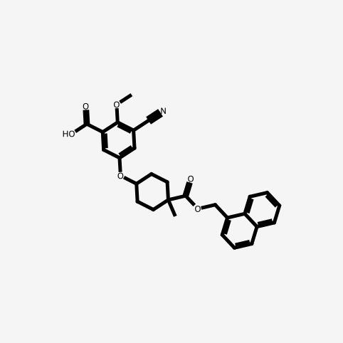 COc1c(C#N)cc(OC2CCC(C)(C(=O)OCc3cccc4ccccc34)CC2)cc1C(=O)O